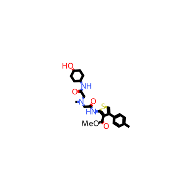 COC(=O)c1c(-c2ccc(C)cc2)csc1NC(=O)CN(C)CC(=O)NC1CCC(O)CC1